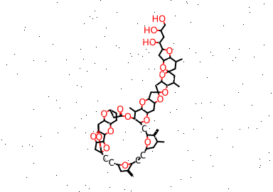 C=C1CC2CCC34CC5OC6C(OC7CCC(CC(=O)OC8C(CC9OC(CCC1O2)CC(C)C9=C)OC1CC2OC9(CC2OC1C8C)CC1OC2(CC(C)C8OC(C(O)CC(O)CO)CC8O2)CC(C)C1O9)OC7C6O3)C5O4